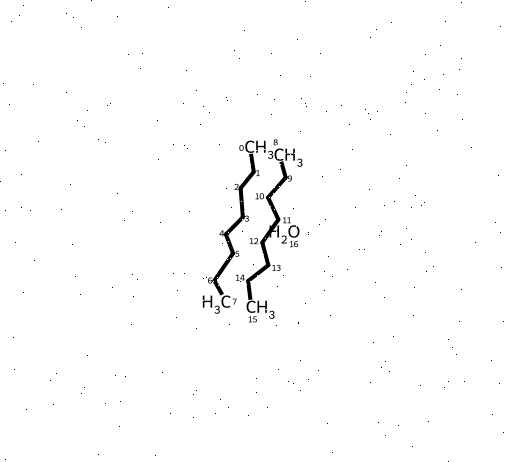 CCCCCCCC.CCCCCCCC.O